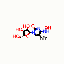 CCCc1cn([C@@H]2O[C@H](CO)[C@@H](O)[C@H]2O)c(=O)nc1NO